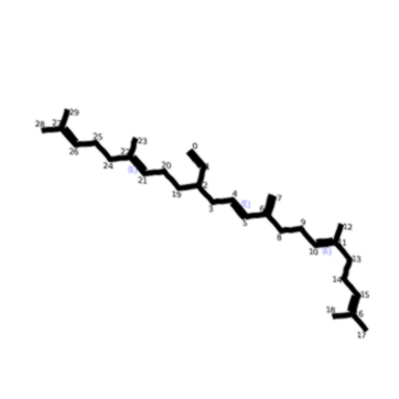 C=CC(C/C=C/C(=C)CC/C=C(\C)CCC=C(C)C)CC/C=C(\C)CCC=C(C)C